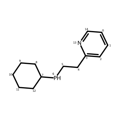 c1ccc(CCPC2CCCCC2)nc1